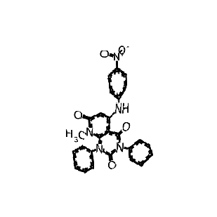 Cn1c(=O)cc(Nc2ccc([N+](=O)[O-])cc2)c2c(=O)n(-c3ccccc3)c(=O)n(-c3ccccc3)c21